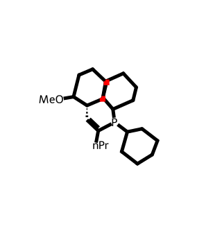 CCC/C(=C/[C@H]1CCCCC1OC)P(C1CCCCC1)C1CCCCC1